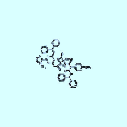 CO[C@@]1(NC(=O)C(C(=O)OC(c2ccccc2)c2ccccc2)c2ccc(OC(C)=O)cc2)C(=O)N2C(C(=O)OC(c3ccccc3)c3ccccc3)=C(CSc3nnnn3C)C[S+]([O-])[C@H]21